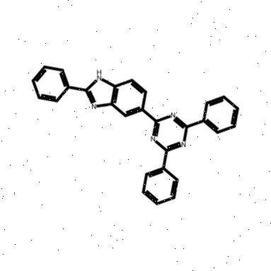 c1ccc(-c2nc(-c3ccccc3)nc(-c3ccc4[nH]c(-c5ccccc5)nc4c3)n2)cc1